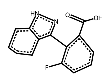 O=C(O)c1cccc(F)c1-c1n[nH]c2ccccc12